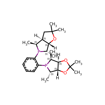 C[C@H]1[C@H]2CC(C)(C)O[C@@H]2[C@H](C)P1c1ccccc1P1[C@@H](C)[C@H]2OC(C)(C)O[C@@H]2[C@@H]1C